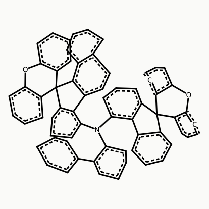 c1ccc(-c2ccccc2N(c2cccc3c2-c2ccccc2C32c3ccccc3Oc3ccccc32)c2cccc3c2-c2ccc4ccccc4c2C32c3ccccc3Oc3ccccc32)cc1